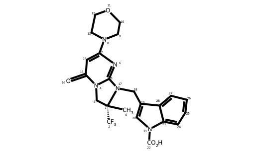 C[C@@]1(C(F)(F)F)Cn2c(nc(N3CCOCC3)cc2=O)N1Cc1cn(C(=O)O)c2ccccc12